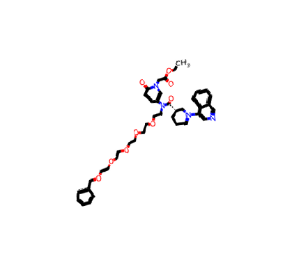 CCOC(=O)Cn1cc(N(CCOCCOCCOCCOCCOCc2ccccc2)C(=O)[C@H]2CCCN(c3cncc4ccccc34)C2)ccc1=O